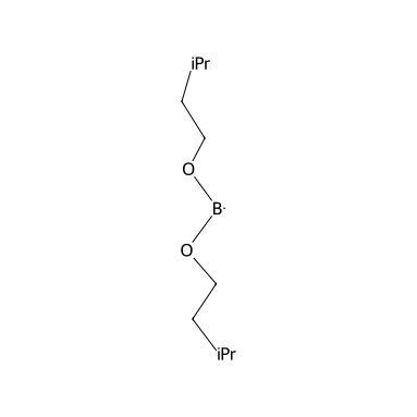 CC(C)CCO[B]OCCC(C)C